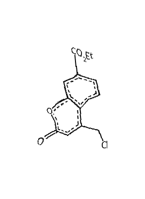 CCOC(=O)c1ccc2c(CCl)cc(=O)oc2c1